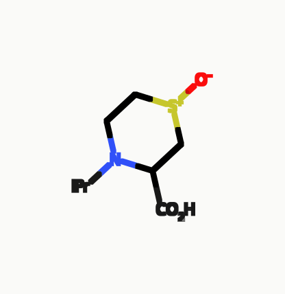 CC(C)N1CC[S+]([O-])CC1C(=O)O